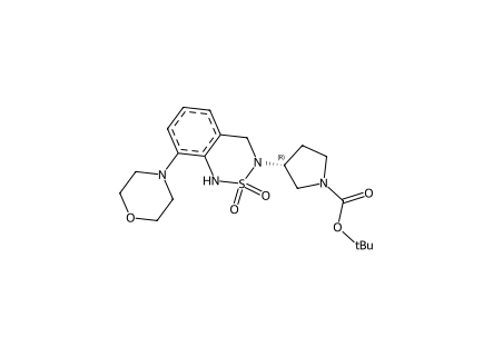 CC(C)(C)OC(=O)N1CC[C@@H](N2Cc3cccc(N4CCOCC4)c3NS2(=O)=O)C1